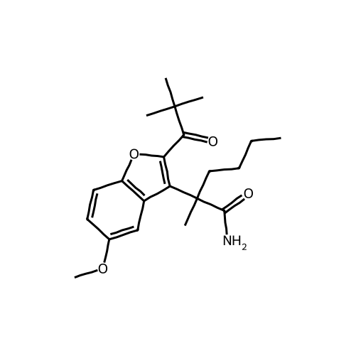 CCCCC(C)(C(N)=O)c1c(C(=O)C(C)(C)C)oc2ccc(OC)cc12